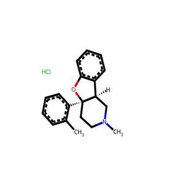 Cc1ccccc1[C@@]12CCN(C)C[C@@H]1c1ccccc1O2.Cl